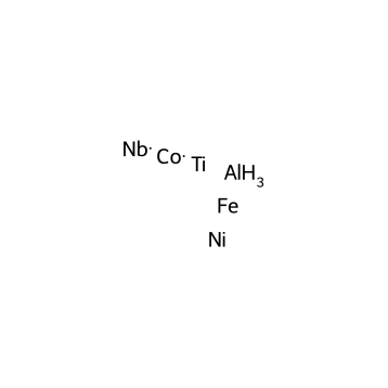 [AlH3].[Co].[Fe].[Nb].[Ni].[Ti]